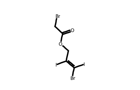 O=C(CBr)OCC(I)=C(Br)I